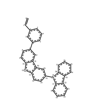 C=Cc1cccc(-c2ccc3oc4ccc(-n5c6ccccc6c6ccccc65)cc4c3c2)c1